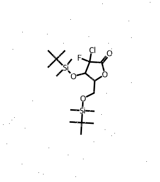 CC(C)(C)[Si](C)(C)OCC1OC(=O)C(F)(Cl)C1O[Si](C)(C)C(C)(C)C